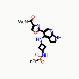 CCCS(=O)(=O)NC1CC(Nc2c(-c3nc(C(=O)NC)co3)cnc3[nH]ccc23)C1